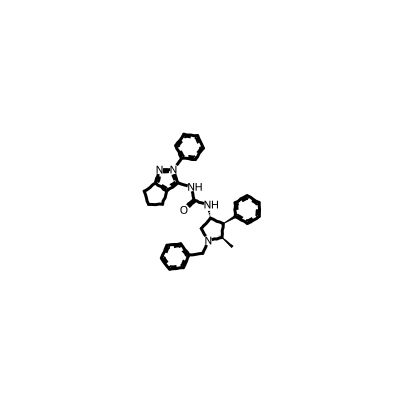 C[C@@H]1[C@H](c2ccccc2)[C@@H](NC(=O)Nc2c3c(nn2-c2ccccc2)CCC3)CN1Cc1ccccc1